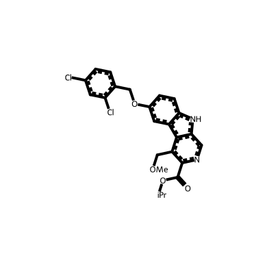 COCc1c(C(=O)OC(C)C)ncc2[nH]c3ccc(OCc4ccc(Cl)cc4Cl)cc3c12